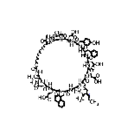 C=C/C(=C\CC)CSC[C@H]1NC(=O)[C@@H](C)NC(=O)[C@H](Cc2cccc3ccccc23)NC(=O)[C@H](CCC(=O)O)NC(=O)[C@H](CC(N)=O)NC(=O)[C@@H](C)NC(=O)CCSCCSC[C@@H](C(N)=O)NC(=O)[C@H](C(C)(C)C)NC(=O)[C@H](CC(=O)O)NC(=O)[C@H](Cc2ccc(O)cc2)NC(=O)C(Cc2ccccc2)NC(=O)[C@H](CC(=O)O)NC(=O)[C@H](CCC(=O)O)NC1=O